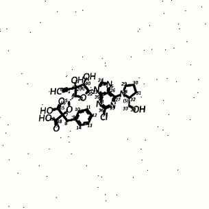 C#C[C@@]1(O)[C@@H](COC(Cc2ccccc2)(C(=O)O)C(=O)O)O[C@@H](n2cnc3c(N4CCC[C@H]4CO)nc(Cl)nc32)[C@@H]1O